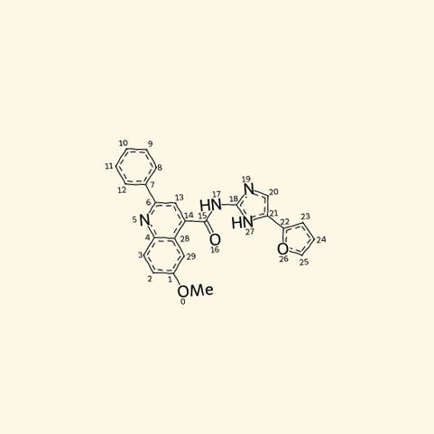 COc1ccc2nc(-c3ccccc3)cc(C(=O)Nc3ncc(-c4ccco4)[nH]3)c2c1